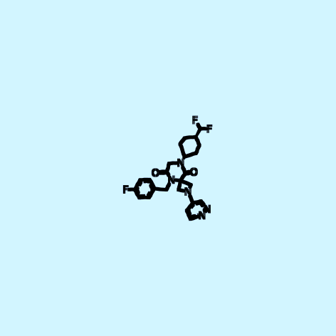 O=C1CN([C@H]2CC[C@H](C(F)F)CC2)C(=O)C2(CN(c3ccnnc3)C2)N1Cc1ccc(F)cc1